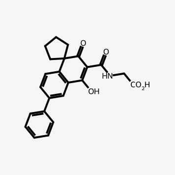 O=C(O)CNC(=O)C1=C(O)c2cc(-c3ccccc3)ccc2C2(CCCC2)C1=O